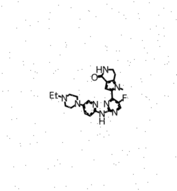 CCN1CCN(c2ccc(Nc3ncc(F)c(-c4cc5c(n4C)CCNC5=O)n3)nc2)CC1